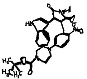 CC(C)(C)OC(=O)N1CCN(c2ccc([N+](=O)[O-])c(C3=C(c4c[nH]c5ccccc45)C(=O)NC3=O)c2)CC1